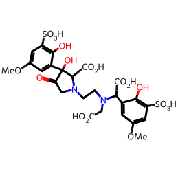 COc1cc(C(C(=O)O)N(CCN2CC(=O)C(O)(c3cc(OC)cc(S(=O)(=O)O)c3O)C2C(=O)O)CC(=O)O)c(O)c(S(=O)(=O)O)c1